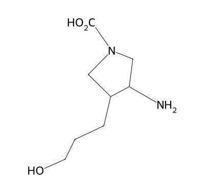 NC1CN(C(=O)O)CC1CCCO